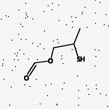 CC(S)COC=O